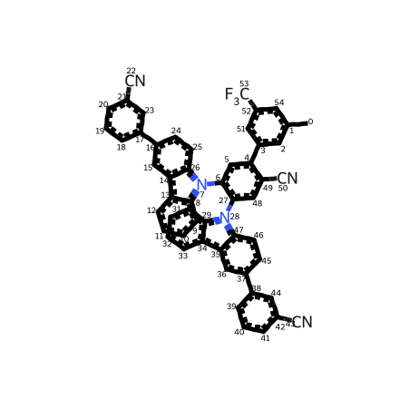 Cc1cc(-c2cc(-n3c4ccccc4c4cc(-c5cccc(C#N)c5)ccc43)c(-n3c4ccccc4c4cc(-c5cccc(C#N)c5)ccc43)cc2C#N)cc(C(F)(F)F)c1